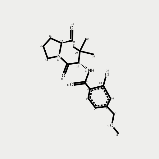 COCc1ccc(C(=O)N[C@H](C(=O)N2CCC[C@H]2C=O)C(C)(C)C)c(Cl)c1